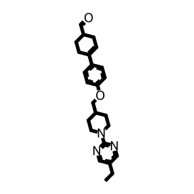 CCc1cnc(N2CCC(COc3ccc(C4=CCC(C=O)CC4)cc3)CC2)nc1